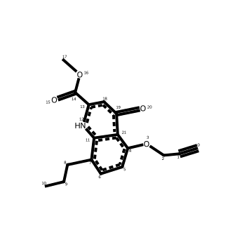 C#CCOc1ccc(CCC)c2[nH]c(C(=O)OC)cc(=O)c12